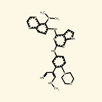 CN/C=C(\C=N)c1cc(Nc2nc(Nc3ccc4nccnc4c3P(C)C)c3cc[nH]c3n2)ccc1N1CCOCC1